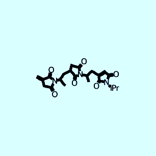 C=C1CC(=O)N(C(C)CC2CC(=O)N(C(C)CC3=CC(=O)N(C(C)C)C3=O)C2=O)C1=O